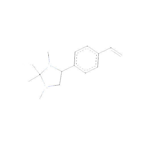 C=Cc1ccc(C2CN(C)C(C)([SiH3])N2C)cc1